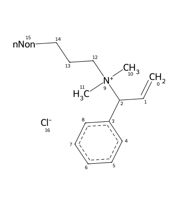 C=CC(c1ccccc1)[N+](C)(C)CCCCCCCCCCCC.[Cl-]